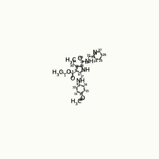 CCOC(=O)c1c(CNc2ccc(OC)cc2)[nH]c(C(=O)NCc2ccccn2)c1CC